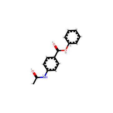 CC(=O)Nc1ccc(C(=O)Oc2cc[c]cc2)cc1